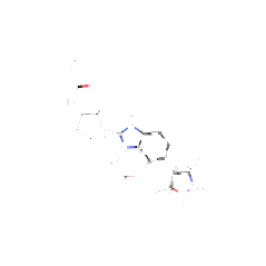 COC(=O)NC1CCN(c2nc3ccc(-c4c(C)noc4C)c4c3n2CCO4)C1